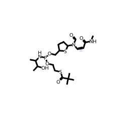 CNC(=O)/C=C\N(C=O)C1CCC(COP(NC(C)C(C)O)OCCSC(=O)C(C)(C)C)S1